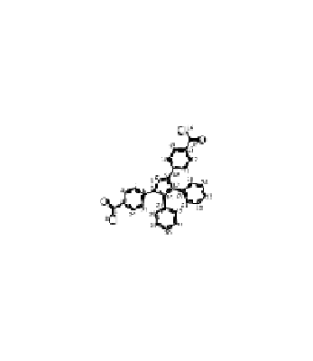 O=C(Cl)c1ccc(-c2sc(-c3ccc(C(=O)Cl)cc3)c(-c3ccccc3)c2-c2ccccc2)cc1